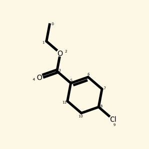 CCOC(=O)C1=CCC(Cl)CC1